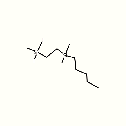 CCCCC[Si](C)(C)CC[Si](C)(I)I